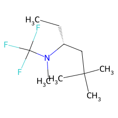 CC[C@H](CC(C)(C)C)N(C)C(F)(F)F